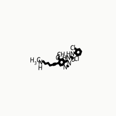 CNCCCCC#Cc1cc2ncnc(NC(=O)Nc3c(Cl)cccc3Cl)c2cc1OC